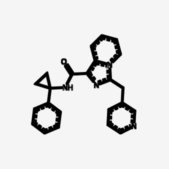 O=C(NC1(c2ccccc2)CC1)c1nc(Cc2cccnc2)n2ccccc12